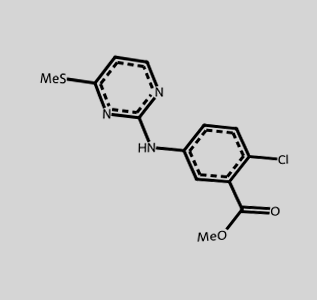 COC(=O)c1cc(Nc2nccc(SC)n2)ccc1Cl